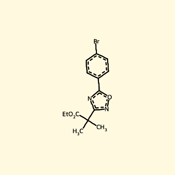 CCOC(=O)C(C)(C)c1noc(-c2ccc(Br)cc2)n1